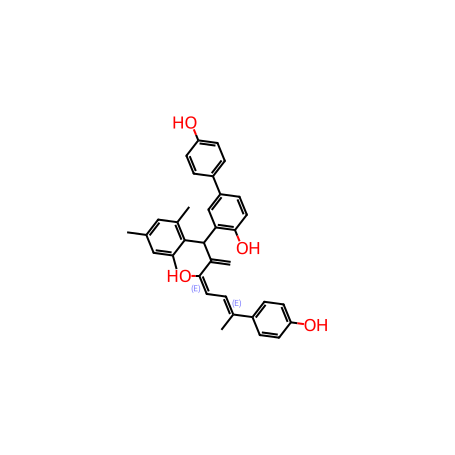 C=C(/C(O)=C\C=C(/C)c1ccc(O)cc1)C(c1cc(-c2ccc(O)cc2)ccc1O)c1c(C)cc(C)cc1C